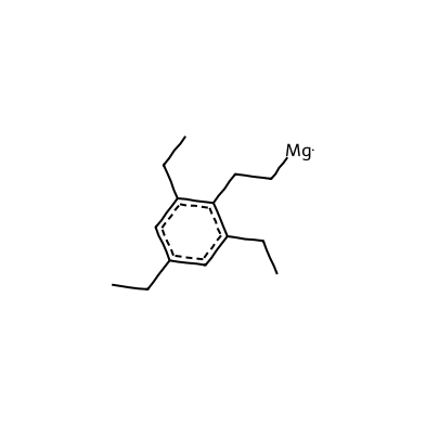 CCc1cc(CC)c(C[CH2][Mg])c(CC)c1